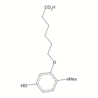 CCCCCCc1ccc(O)cc1OCCCCCC(=O)O